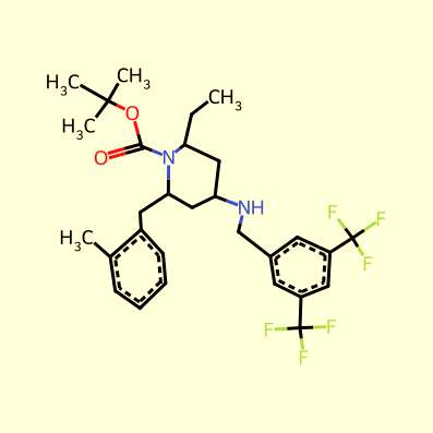 CCC1CC(NCc2cc(C(F)(F)F)cc(C(F)(F)F)c2)CC(Cc2ccccc2C)N1C(=O)OC(C)(C)C